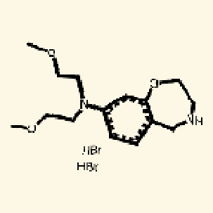 Br.Br.COCCN(CCOC)c1ccc2c(c1)OCCNC2